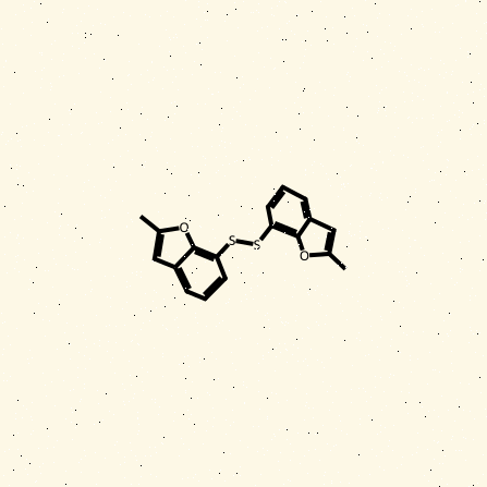 Cc1cc2cccc(SSc3cccc4cc(C)oc34)c2o1